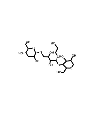 OCCO[C@H](O[C@@H]1C(CO)OCC(O)C1O)C(O)C(O)CO[C@H]1OC(CO)[C@@H](O)CC1O